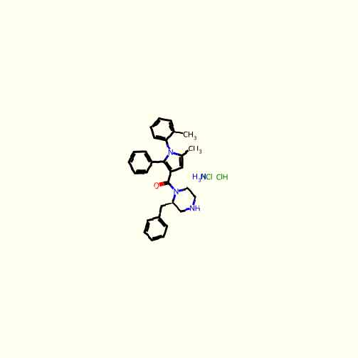 Cc1ccccc1-n1c(C)cc(C(=O)N2CCNC[C@H]2Cc2ccccc2)c1-c1ccccc1.Cl.Cl.N